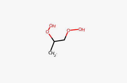 [CH2]C(COO)OO